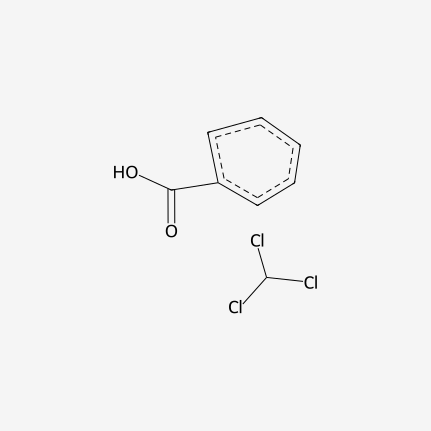 ClC(Cl)Cl.O=C(O)c1ccccc1